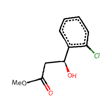 COC(=O)C[C@H](O)c1ccccc1Cl